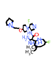 CCC1(C)CCC(F)CNC(C(C(=O)NC2=CN=CC(F)C2N2CCC(OCCN3CCCC3)CC2)C(N)N)C1